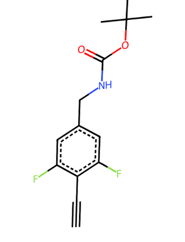 C#Cc1c(F)cc(CNC(=O)OC(C)(C)C)cc1F